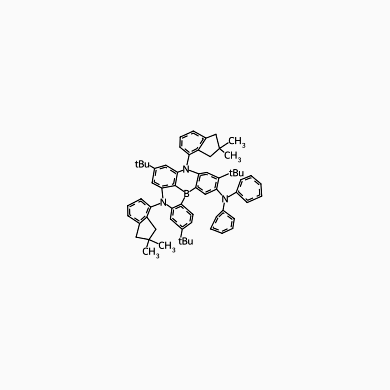 CC1(C)Cc2cccc(N3c4cc(C(C)(C)C)ccc4B4c5cc(N(c6ccccc6)c6ccccc6)c(C(C)(C)C)cc5N(c5cccc6c5CC(C)(C)C6)c5cc(C(C)(C)C)cc3c54)c2C1